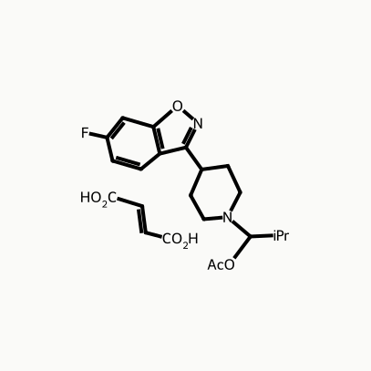 CC(=O)OC(C(C)C)N1CCC(c2noc3cc(F)ccc23)CC1.O=C(O)C=CC(=O)O